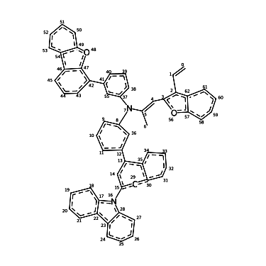 C=Cc1c(/C=C(\C)N(c2cccc(-c3cc(-n4c5ccccc5c5ccccc54)cc4ccccc34)c2)c2cccc(-c3cccc4c3oc3ccccc34)c2)oc2ccccc12